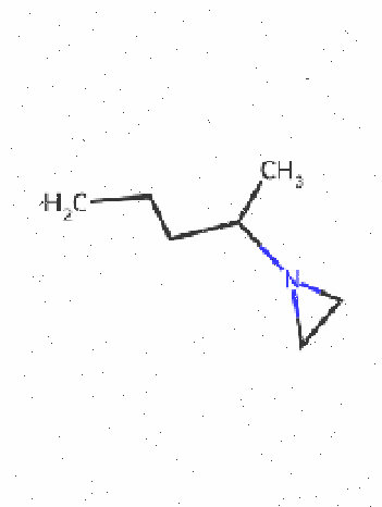 [CH2]CCC(C)N1CC1